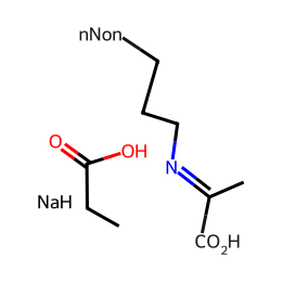 CCC(=O)O.CCCCCCCCCCCCN=C(C)C(=O)O.[NaH]